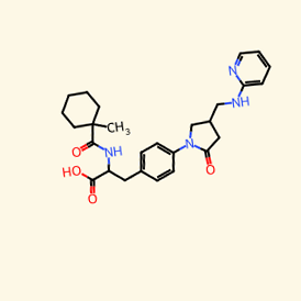 CC1(C(=O)NC(Cc2ccc(N3CC(CNc4ccccn4)CC3=O)cc2)C(=O)O)CCCCC1